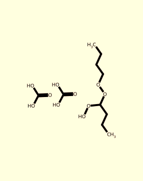 CCCCOOC(CCC)OO.O=C(O)O.O=C(O)O